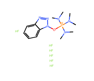 CN(C)[PH](On1nnc2ccccc21)(N(C)C)N(C)C.F.F.F.F.F.F